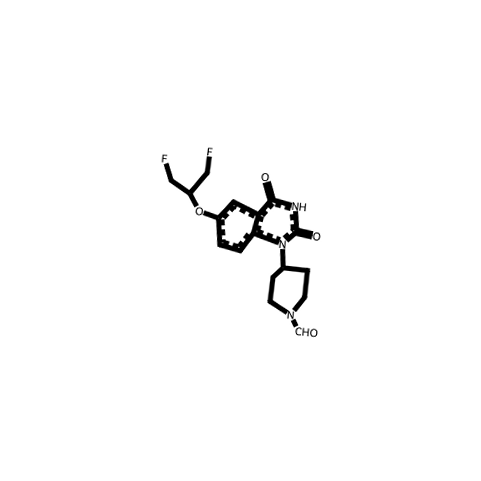 O=CN1CCC(n2c(=O)[nH]c(=O)c3cc(OC(CF)CF)ccc32)CC1